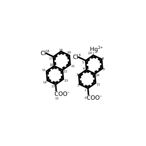 O=C([O-])c1ccc2c(Cl)cccc2c1.O=C([O-])c1ccc2c(Cl)cccc2c1.[Hg+2]